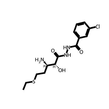 CCSCC[C@@H](N)[C@@H](O)C(=O)NNC(=O)c1cccc(Cl)c1